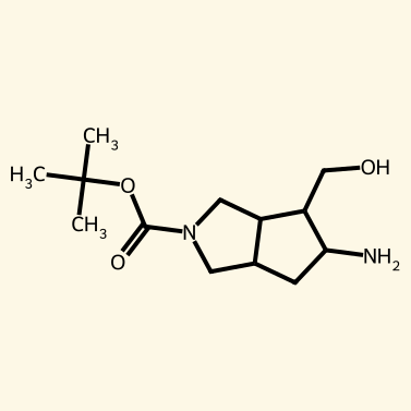 CC(C)(C)OC(=O)N1CC2CC(N)C(CO)C2C1